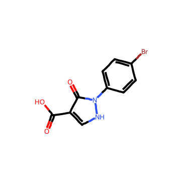 O=C(O)c1c[nH]n(-c2ccc(Br)cc2)c1=O